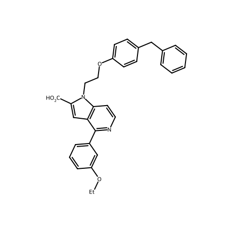 CCOc1cccc(-c2nccc3c2cc(C(=O)O)n3CCOc2ccc(Cc3ccccc3)cc2)c1